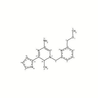 COCc1cccc(CN2C=C(N)N=C(c3ncco3)C2C)n1